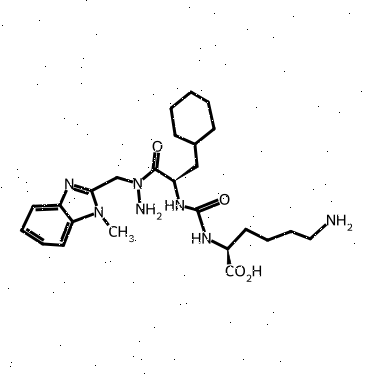 Cn1c(CN(N)C(=O)[C@@H](CC2CCCCC2)NC(=O)N[C@@H](CCCCN)C(=O)O)nc2ccccc21